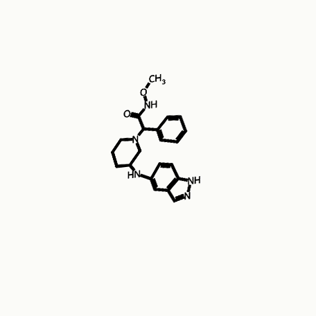 CONC(=O)C(c1ccccc1)N1CCCC(Nc2ccc3[nH]ncc3c2)C1